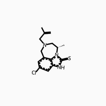 C=C(C)CN1Cc2cc(Cl)cc3[nH]c(=S)n(c23)[C@@H](C)C1